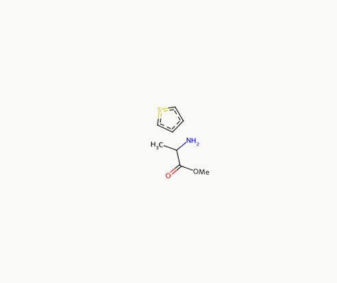 COC(=O)C(C)N.c1ccsc1